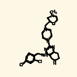 CN1CCOC(CN2CCN(c3nc4c(c(NCc5ccc(Cl)cc5Cl)n3)CNCC4)CC2)C1